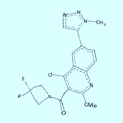 COc1nc2ccc(-c3cnnn3C)cc2c(Cl)c1C(=O)N1CC(F)(F)C1